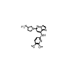 COc1ccc(Nc2cc(N3CCC(N)C3)nn3ccnc23)nc1OC